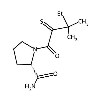 CCC(C)(C)C(=S)C(=O)N1CCC[C@H]1C(N)=O